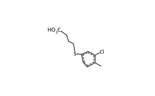 Cc1ccc(SCCCC(=O)O)cc1Cl